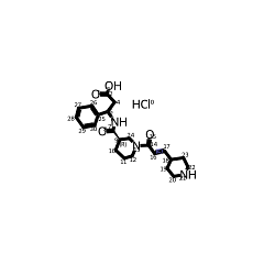 Cl.O=C(O)CC(NC(=O)[C@@H]1CCCN(C(=O)/C=C/C2CCNCC2)C1)c1ccccc1